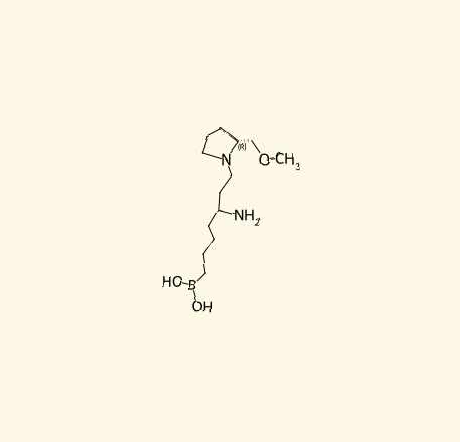 COC[C@H]1CCCN1CCC(N)CCCCB(O)O